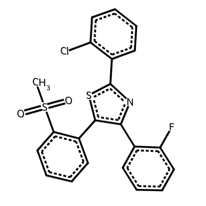 CS(=O)(=O)c1ccccc1-c1sc(-c2ccccc2Cl)nc1-c1ccccc1F